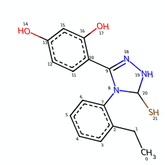 CCc1ccccc1N1C(c2ccc(O)cc2O)=NNC1S